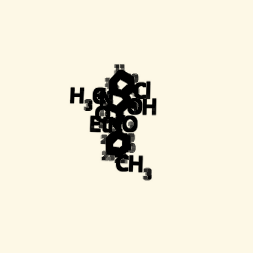 CCN(C(=O)c1c(O)c2c(Cl)cccc2n(C)c1=O)c1ccc(C)cc1